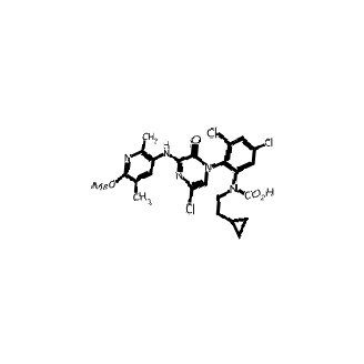 COc1nc(C)c(Nc2nc(Cl)cn(-c3c(Cl)cc(Cl)cc3N(CCC3CC3)C(=O)O)c2=O)cc1C